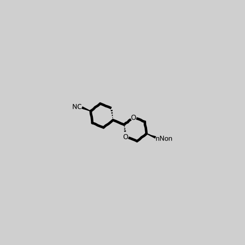 CCCCCCCCC[C@H]1CO[C@H]([C@H]2CC[C@H](C#N)CC2)OC1